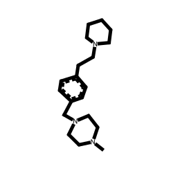 CN1CCN(Cc2ccc(CCN3CCCCC3)cc2)CC1